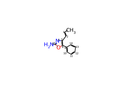 C/C=C/c1nc(N)oc1-c1ccccc1